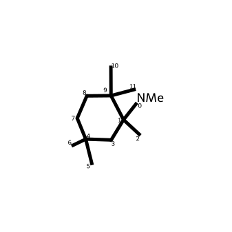 CNC1(C)CC(C)(C)CCC1(C)C